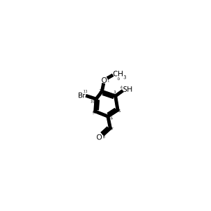 COc1c(S)cc(C=O)cc1Br